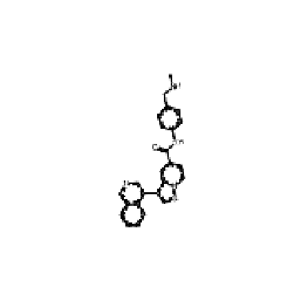 CNCc1ccc(NC(=O)c2ccn3ncc(-c4cncc5ccccc45)c3c2)cc1